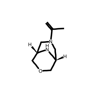 C=C(C)N1C[C@H]2COC[C@@H](C1)N2